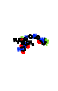 COc1ccc2c(c1C1CCN(C[C@H]3CC[C@H](n4cc5cc(NC(=O)c6cccc(C(F)(F)F)n6)ccc5n4)CC3)CC1F)n(C)c(=O)n2C1CCC(=O)NC1=O